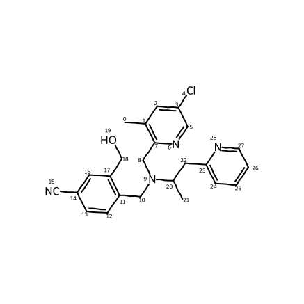 Cc1cc(Cl)cnc1CN(Cc1ccc(C#N)cc1CO)C(C)Cc1ccccn1